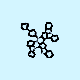 c1ccc(-c2ccc(N3B4c5c(cc6c(oc7ccccc76)c5-n5c6ccccc6c6cccc4c65)-c4c3cc3c5ccccc5n5c6ccccc6c4c35)cc2)cc1